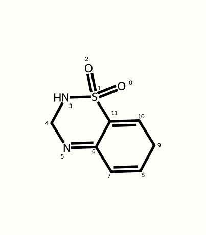 O=S1(=O)NCN=C2C=CCC=C21